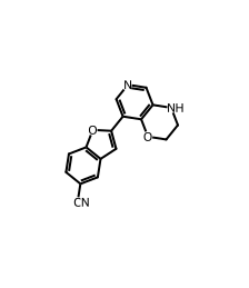 N#Cc1ccc2oc(-c3cncc4c3OCCN4)cc2c1